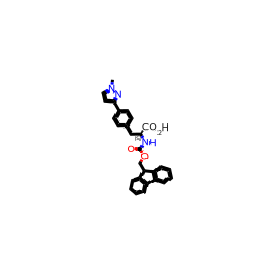 Cn1ccc(-c2ccc(C[C@H](NC(=O)OCC3c4ccccc4-c4ccccc43)C(=O)O)cc2)n1